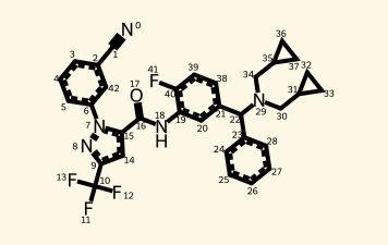 N#Cc1cccc(-n2nc(C(F)(F)F)cc2C(=O)Nc2cc(C(c3ccccc3)N(CC3CC3)CC3CC3)ccc2F)c1